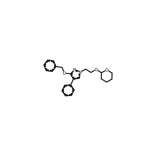 c1ccc(COc2nn(CCOC3CCCCO3)cc2-c2ccccc2)cc1